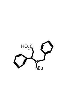 CCCCN(Cc1ccccc1)C(CC(=O)O)c1ccccc1